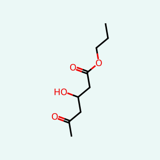 CCCOC(=O)CC(O)CC(C)=O